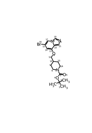 CC(C)(C)OC(=O)N1CCC(COc2cc(Br)cn3cncc23)CC1